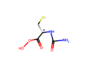 NC(=O)N[C@@H](CS)C(=O)OO